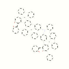 Cc1cc(C)c(N(c2ccc3c(c2)C2(c4ccccc4-c4ccccc42)c2cc4c(cc2-3)C2(c3ccccc3-c3ccccc32)c2ccc3oc5ccccc5c3c2-4)c2ccc3c(c2)C2(c4ccccc4-c4ccccc42)c2cc(-c4ccccc4)c4oc5ccccc5c4c2-3)c(C)c1